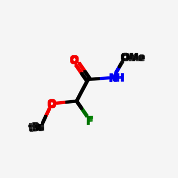 CONC(=O)C(F)OC(C)(C)C